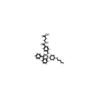 CCCCC[C@H]1CC[C@H](C(=O)N(Cc2ccc(C(=O)NCCC(=O)O)cc2)CC(c2ccccc2)c2ccccc2)CC1